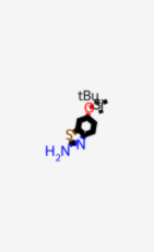 CC(C)(C)[Si](C)(C)Oc1ccc2nc(N)sc2c1